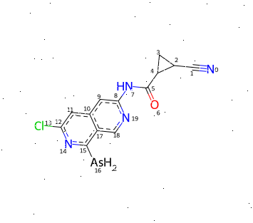 N#CC1CC1C(=O)Nc1cc2cc(Cl)nc([AsH2])c2cn1